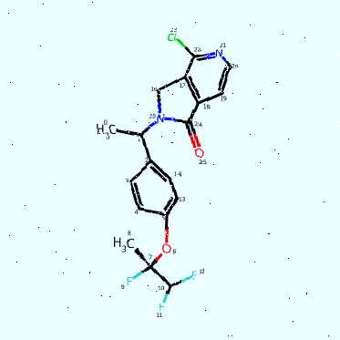 CC(c1ccc(O[C@@](C)(F)C(F)F)cc1)N1Cc2c(ccnc2Cl)C1=O